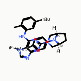 COc1ccc(N2[C@@H]3CC[C@H]2CN(c2nc(Nc4cc(C(C)(C)C)ccc4C)c4c(ncn4C(C)C)n2)C3)cc1